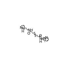 CC1(CCNC(=O)CCSSCCC(=O)NCCC2(C)C=CC=NN2)C=CC=NN1